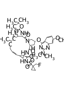 COc1ccc2c(O[C@@H]3C[C@H]4C(=O)N[C@]5(C(=O)NS(=O)(=O)C6(CF)CC6)CC5/C=C\CC[C@@H](C)C[C@@H](C)[C@H](NC(=O)OC(C)(C)C)C(=O)N4C3)nc(N(C)C)nc2c1